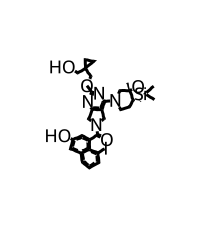 C[C@@]1(O[Si](C)(C)C)CCCN(c2nc(OCC3(CO)CC3)nc3c2CN(C(=O)c2cc(O)cc4cccc(I)c24)C3)C1